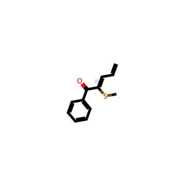 C=C/C=C(\SC)C(=O)c1ccccc1